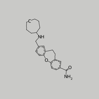 NC(=O)c1ccc2c(c1)CCc1cc(CNC3CCCCCCC3)ccc1O2